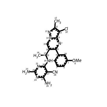 COc1cccc(-c2nc3c(Cl)c(C)nn3cc2[C@H](C)Nc2nc(N)nc(N)c2C#N)c1